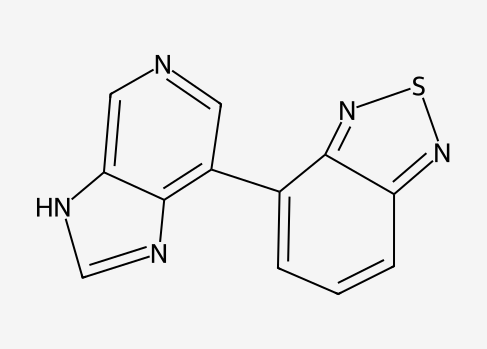 c1cc(-c2cncc3[nH]cnc23)c2nsnc2c1